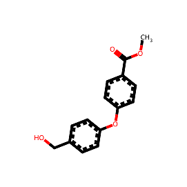 COC(=O)c1ccc(Oc2ccc(CO)cc2)cc1